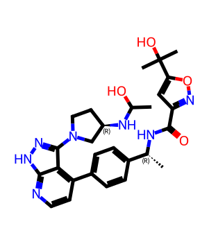 CC(O)N[C@@H]1CCN(c2n[nH]c3nccc(-c4ccc([C@@H](C)NC(=O)c5cc(C(C)(C)O)on5)cc4)c23)C1